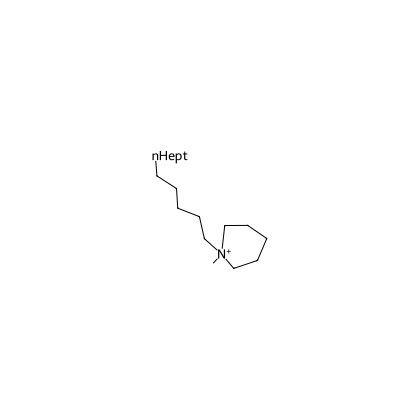 CCCCCCCCCCCC[N+]1(C)CCCCC1